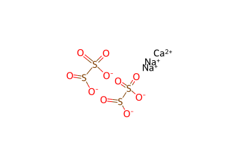 O=S([O-])S(=O)(=O)[O-].O=S([O-])S(=O)(=O)[O-].[Ca+2].[Na+].[Na+]